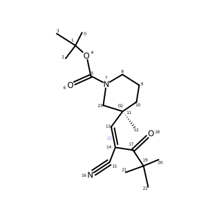 CC(C)(C)OC(=O)N1CCC[C@@](C)(/C=C(/C#N)C(=O)C(C)(C)C)C1